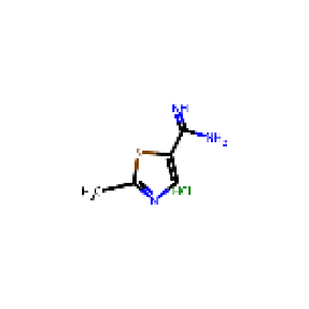 Cc1ncc(C(=N)N)s1.Cl